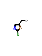 N#CCc1cnc(Br)s1